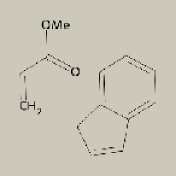 C1=Cc2ccccc2C1.C=CC(=O)OC